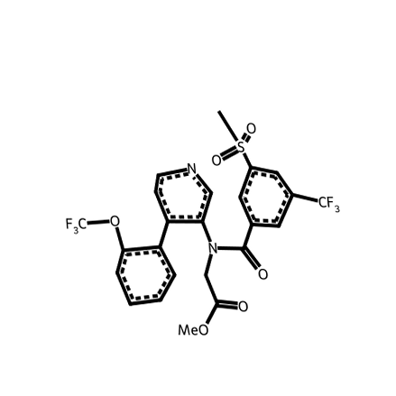 COC(=O)CN(C(=O)c1cc(C(F)(F)F)cc(S(C)(=O)=O)c1)c1cnccc1-c1ccccc1OC(F)(F)F